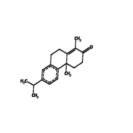 CC1=C2CCc3cc(C(C)C)ccc3C2(C)CCC1=O